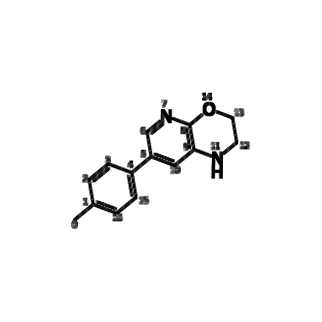 Cc1ccc(-c2cnc3c(c2)NCCO3)cc1